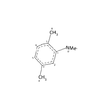 C[N]c1cc(C)ccc1C